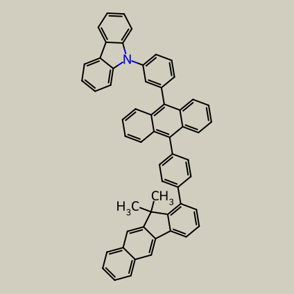 CC1(C)c2cc3ccccc3cc2-c2cccc(-c3ccc(-c4c5ccccc5c(-c5cccc(-n6c7ccccc7c7ccccc76)c5)c5ccccc45)cc3)c21